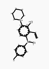 C=Cc1c(N(CC)c2ccc(C)cc2)ccc(N2CCCCC2)c1Cl